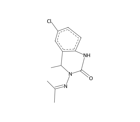 CC(C)=NN1C(=O)Nc2ccc(Cl)cc2C1C